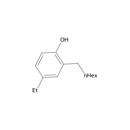 CCCCCCCc1cc(CC)ccc1O